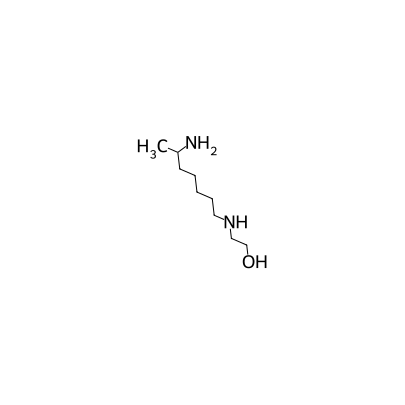 CC(N)CCCCCNCCO